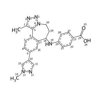 Cc1nnn2c1-c1ccc(-c3cnn(C)c3)cc1C(Nc1ccc(C(=O)O)cc1)CC2